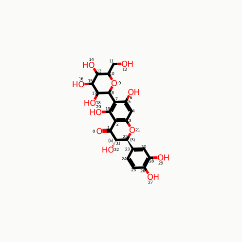 O=C1c2c(cc(O)c(C3OC(CO)C(O)C(O)C3O)c2O)O[C@@H](c2ccc(O)c(O)c2)[C@@H]1O